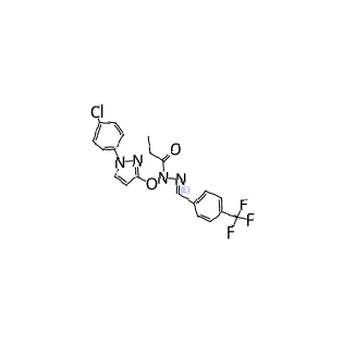 CCC(=O)N(/N=C/c1ccc(C(F)(F)F)cc1)Oc1ccn(-c2ccc(Cl)cc2)n1